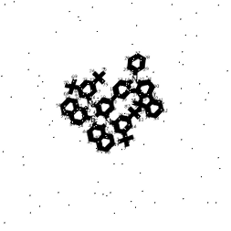 CC(C)(C)c1cc(N2c3cc(-c4ccc5c(c4)c4c6c(ccc4n5-c4ccccc4)-c4ccccc4C6(C)C)cc4c3B(c3ccc5ccccc5c32)c2ccc3ccccc3c2N4c2cc(C(C)(C)C)cc(C(C)(C)C)c2)cc(C(C)(C)C)c1